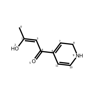 C/C(O)=C/C(=O)C1=CCNC=C1